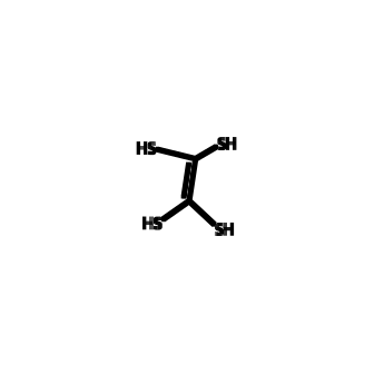 SC(S)=C(S)S